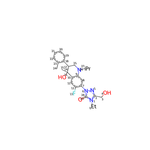 CCn1c(CO)nn(-c2cc3c(cc2F)C(C)(O)C(c2ccccc2C)CN3C(C)C)c1=O